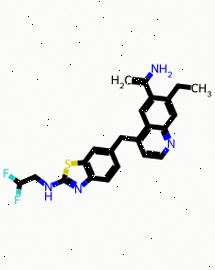 C=C(N)c1cc2c(Cc3ccc4nc(NCC(F)F)sc4c3)ccnc2cc1CC